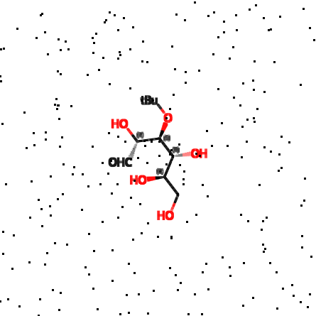 CC(C)(C)O[C@@H]([C@H](O)[C@H](O)CO)[C@@H](O)C=O